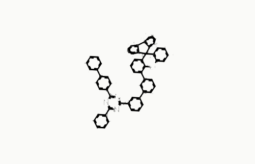 c1ccc(-c2ccc(-c3nc(-c4ccccc4)nc(-c4cccc(-c5cccc(-c6cccc7c6Oc6ccccc6C76c7ccccc7-c7ccccc76)c5)c4)n3)cc2)cc1